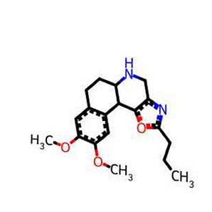 CCCc1nc2c(o1)C1c3cc(OC)c(OC)cc3CCC1NC2